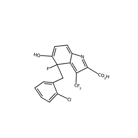 O=C(O)C1=NC2=CC=C(O)C(F)(Cc3ccccc3Cl)C2=C1C(F)(F)F